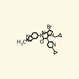 Cn1cc2cc(-n3nc4c(Br)cn(CC5CC5)c4c(-c4ccc(C5CC5)nc4)c3=O)ccc2n1